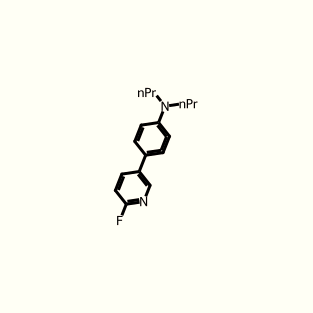 CCCN(CCC)C1=C=C=C(c2ccc(F)nc2)C=C1